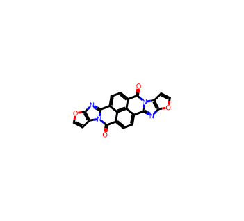 O=c1c2ccc3c4c(ccc(c24)c2nc4occc4n12)c(=O)n1c2ccoc2nc31